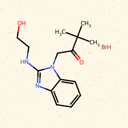 Br.CC(C)(C)C(=O)Cn1c(NCCO)nc2ccccc21